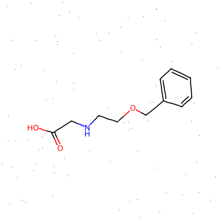 O=C(O)CNCCOCc1ccccc1